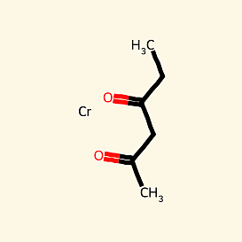 CCC(=O)CC(C)=O.[Cr]